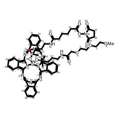 COCCOCCOCC(=O)NCCC[Si](C)(C)O[Si]1(O[Si](C)(C)CCCNC(=O)CCCCC(=O)ON2C(=O)CCC2=O)n2c3c4ccccc4c2/N=C2N=C(/N=c4/c5ccccc5/c(n41)=N/C1=NC(=N\3)/c3ccccc31)c1ccccc1\2